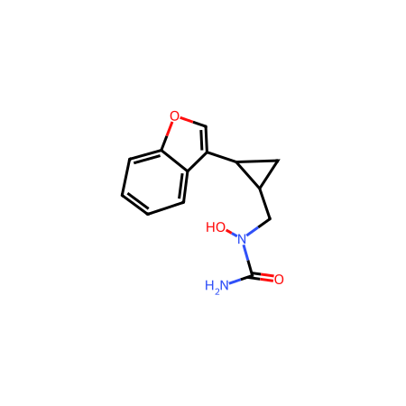 NC(=O)N(O)CC1CC1c1coc2ccccc12